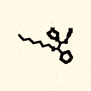 CCCCCCCSC(c1ccccc1)C(SC#N)n1ccnc1